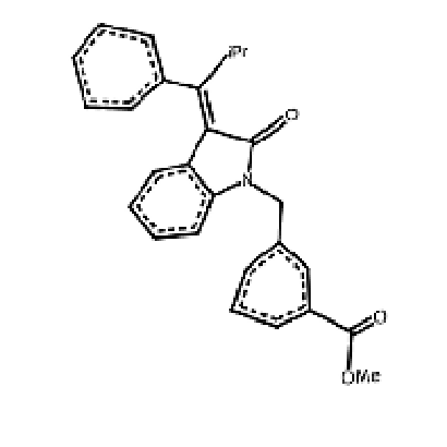 COC(=O)c1cccc(CN2C(=O)/C(=C(/c3ccccc3)C(C)C)c3ccccc32)c1